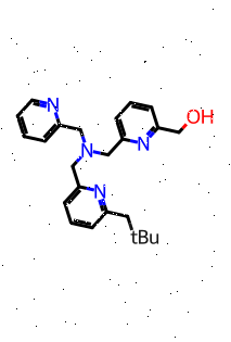 CC(C)(C)Cc1cccc(CN(Cc2ccccn2)Cc2cccc(CO)n2)n1